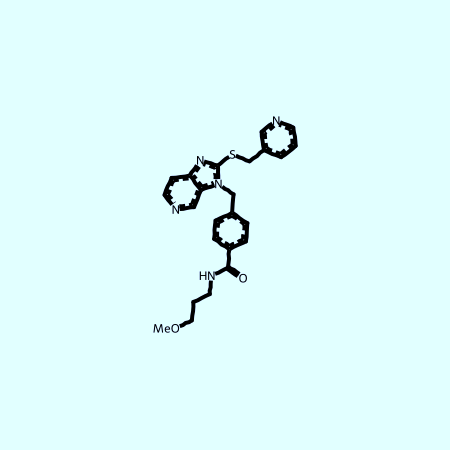 COCCCNC(=O)c1ccc(Cn2c(SCc3cccnc3)nc3ccncc32)cc1